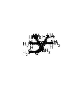 BC(=O)CCCCCCC(=O)N1CCN(c2nc(C)nc(N(CCOC(=O)N(CCCCCCNC(=N)N)CCCCCCNC(=N)N)CCOC(=O)N(CCCCCCNC(=N)N)CCCCCCNC(=N)N)n2)CC1